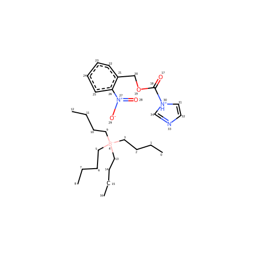 CCCC[B-](CCCC)(CCCC)CCCC.O=C(OCc1ccccc1[N+](=O)[O-])[NH+]1C=CN=C1